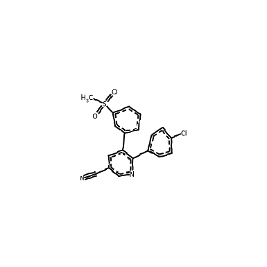 CS(=O)(=O)c1cccc(-c2cc(C#N)cnc2-c2ccc(Cl)cc2)c1